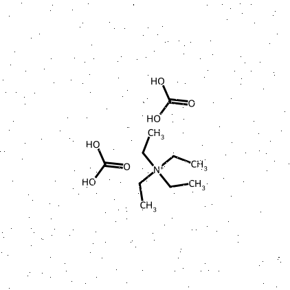 CC[N+](CC)(CC)CC.O=C(O)O.O=C(O)O